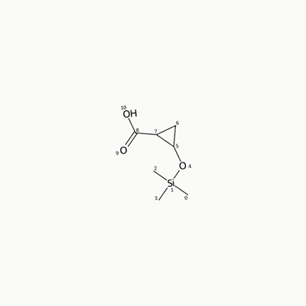 C[Si](C)(C)OC1CC1C(=O)O